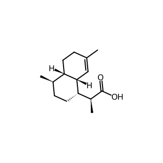 CC1=C[C@H]2[C@@H](CC1)[C@H](C)CC[C@H]2[C@H](C)C(=O)O